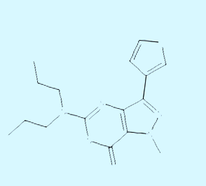 CCCN(CCC)c1nc2c(-c3ccsc3)nn(C)c2c(=O)[nH]1